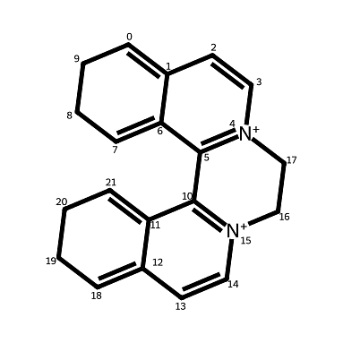 C1=c2cc[n+]3c(c2=CCC1)-c1c2c(cc[n+]1CC3)=CCCC=2